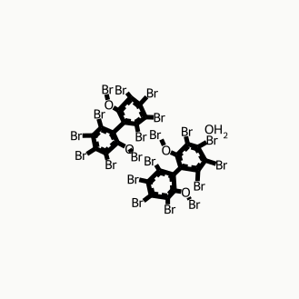 BrOc1c(Br)c(Br)c(Br)c(Br)c1-c1c(Br)c(Br)c(Br)c(Br)c1OBr.BrOc1c(Br)c(Br)c(Br)c(Br)c1-c1c(Br)c(Br)c(Br)c(Br)c1OBr.O